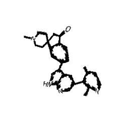 Cc1ccnc(C)c1-c1cnc2[nH]cc(-c3ccc4c(c3)C3(CCN(C)CC3)CC4=O)c2c1